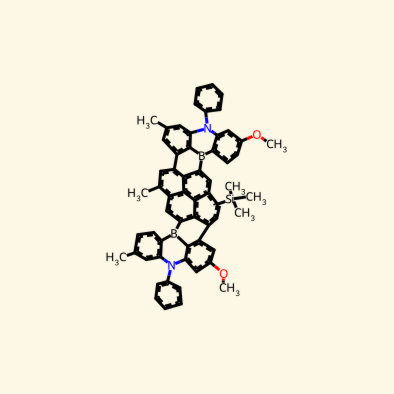 COc1ccc2c(c1)N(c1ccccc1)c1cc(C)cc3c1B2c1cc2c([Si](C)(C)C)cc4c5c(cc6c(C)cc-3c1c6c25)B1c2ccc(C)cc2N(c2ccccc2)c2cc(OC)cc-4c21